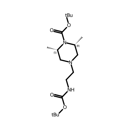 C[C@@H]1CN(CCNC(=O)OC(C)(C)C)C[C@H](C)N1C(=O)OC(C)(C)C